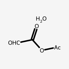 CC(=O)OC(=O)C=O.O